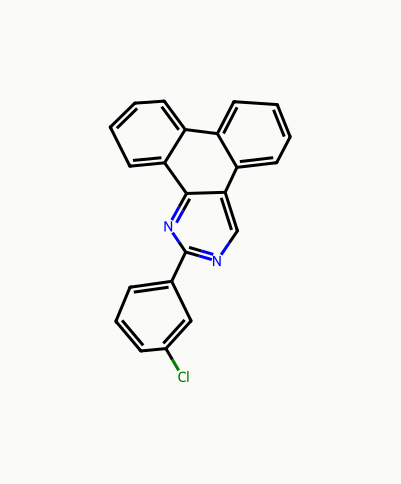 Clc1cccc(-c2ncc3c4ccccc4c4ccccc4c3n2)c1